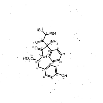 CCC(C)C(S)C(=O)C(N)(C(=O)N[C@@H](Cc1ccc(O)cc1)C(=O)O)c1ccccc1